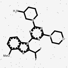 COc1cccc2c1nc(C(F)F)n2-c1nc(N2CCOCC2)nc(N2CCCC(N)C2)n1